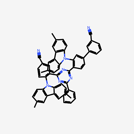 Cc1ccc2c(c1)c1cc(C)ccc1n2-c1ccc(C#N)cc1-c1nc(-c2ccccc2)nc(-c2ccc(-c3cccc(C#N)c3)cc2-n2c3ccc(C)cc3c3cc(C)ccc32)n1